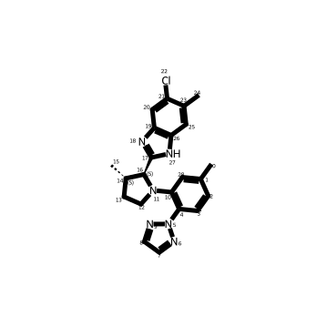 Cc1c[c]c(-n2nccn2)c(N2CC[C@H](C)[C@H]2c2nc3cc(Cl)c(C)cc3[nH]2)c1